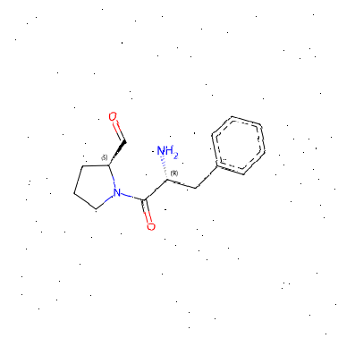 N[C@H](Cc1ccccc1)C(=O)N1[CH]CC[C@H]1C=O